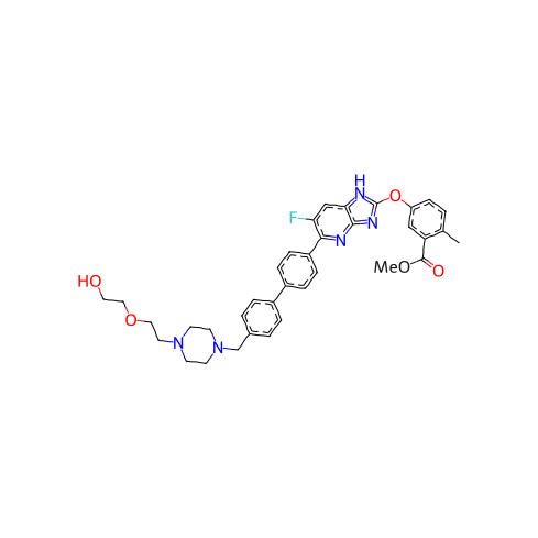 COC(=O)c1cc(Oc2nc3nc(-c4ccc(-c5ccc(CN6CCN(CCOCCO)CC6)cc5)cc4)c(F)cc3[nH]2)ccc1C